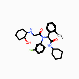 Cc1ccccc1C(C(=O)NC1CCCCC1)N(C(=O)CNC1CCCCC1O)c1cccc(F)c1